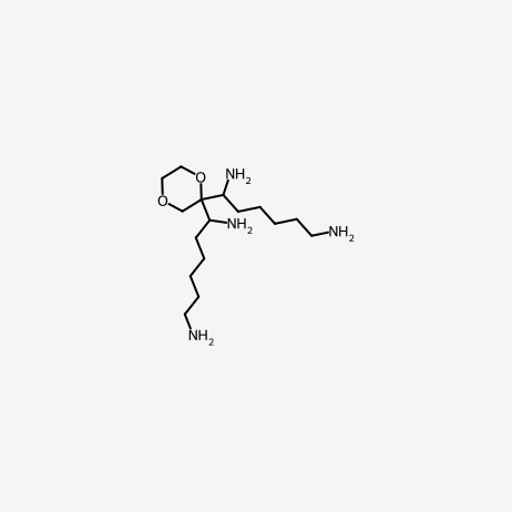 NCCCCCC(N)C1(C(N)CCCCCN)COCCO1